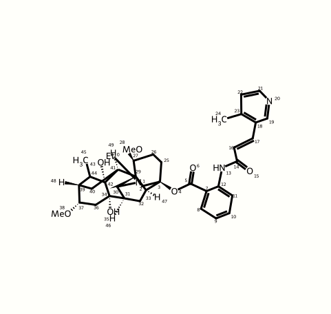 CCN1C[C@]2(OC(=O)c3ccccc3NC(=O)/C=C/c3cnccc3C)CC[C@H](OC)[C@]34C1[C@@H](C[C@H]23)[C@@]1(O)C[C@H](OC)[C@H]2C[C@@H]4[C@]1(O)C2C